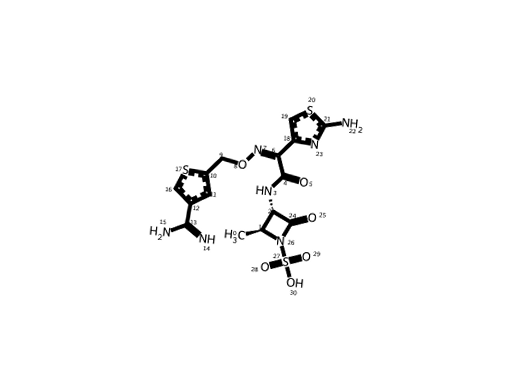 C[C@H]1[C@H](NC(=O)/C(=N\OCc2cc(C(=N)N)cs2)c2csc(N)n2)C(=O)N1S(=O)(=O)O